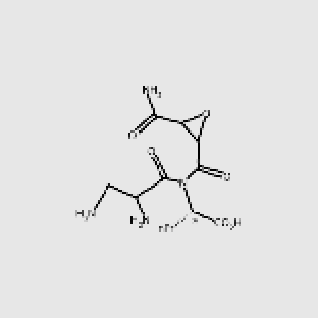 CCC[C@@H](C(=O)O)N(C(=O)C(N)CN)C(=O)C1OC1C(N)=O